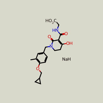 Cc1cc(CN2CCC(O)=C(C(=O)NCC(=O)O)C2=O)ccc1OCC1CC1.[NaH]